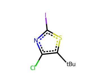 CC(C)(C)c1sc(I)nc1Cl